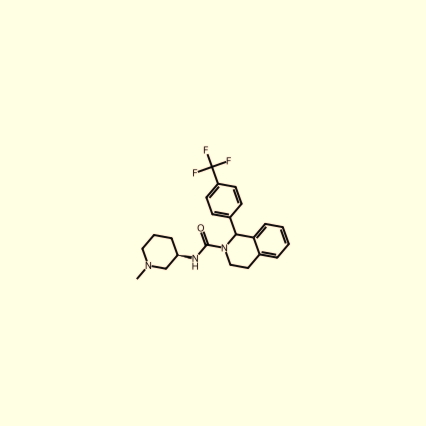 CN1CCC[C@@H](NC(=O)N2CCc3ccccc3C2c2ccc(C(F)(F)F)cc2)C1